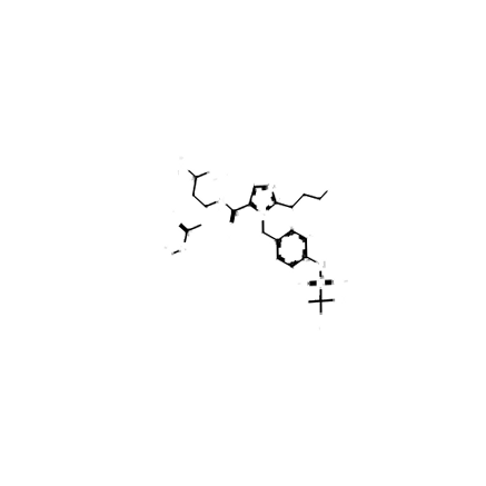 CCCCc1ncc(C(=O)N[C@H](CC(=O)NO)CC(C)C)n1Cc1ccc(NS(=O)(=O)C(F)(F)F)cc1